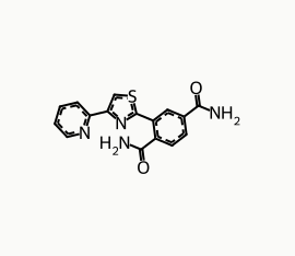 NC(=O)c1ccc(C(N)=O)c(-c2nc(-c3ccccn3)cs2)c1